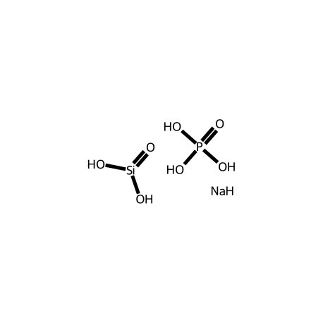 O=P(O)(O)O.O=[Si](O)O.[NaH]